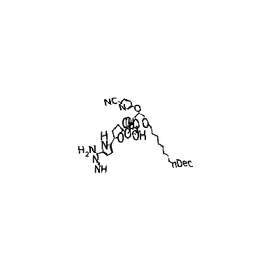 CCCCCCCCCCCCCCCCCCOCC(COP(=O)(O)O[C@]1(C)CC[C@H](c2ccc(/C(N)=N\C=N)[nH]2)O1)Oc1ccc(C#N)nc1